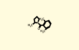 Cc1cccc(C)c1C(=O)N1CCCC1C